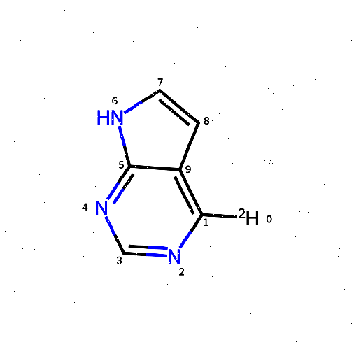 [2H]c1ncnc2[nH]ccc12